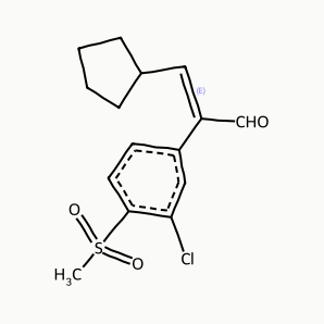 CS(=O)(=O)c1ccc(/C(C=O)=C\C2CCCC2)cc1Cl